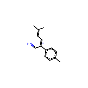 CC(C)=C/C=C(\C=N)c1ccc(C)cc1